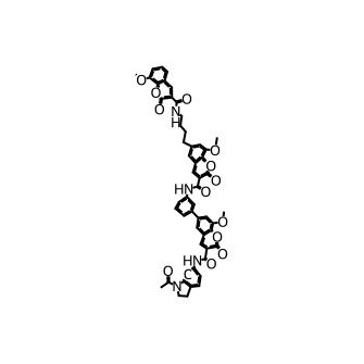 COc1cccc2cc(C(=O)NCCCCc3cc(OC)c4oc(=O)c(C(=O)Nc5cccc(-c6cc(OC)c7oc(=O)c(C(=O)Nc8ccc9c(c8)N(C(C)=O)CC9)cc7c6)c5)cc4c3)c(=O)oc12